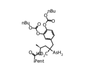 CCCCOC(=O)Oc1ccc(C[C@]([AsH2])(C[C@H](C)OC(=O)C(C)CCC)C(=O)O)cc1OC(=O)OCCCC